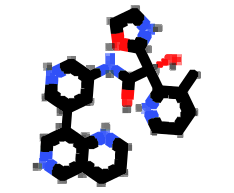 Cc1cccnc1[C@@](O)(C(=O)Nc1cncc(-c2cncc3cccnc23)c1)c1ncco1